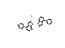 CC1=Cc2c(-c3ccc(C)c(C)c3C)ccc(C)c2[CH]1[Zr+2][CH]1C(C(C)C)=Cc2c(-c3ccccc3)cccc21.[Cl-].[Cl-]